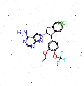 CCOc1cc(C2c3ccccc3CC2n2cc3c(N)ncnc3n2)ccc1OC(F)(F)F.Cl